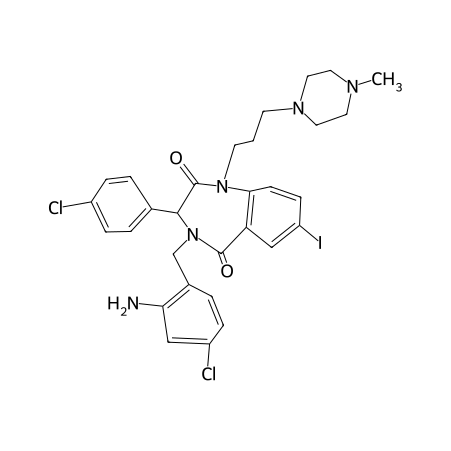 CN1CCN(CCCN2C(=O)C(c3ccc(Cl)cc3)N(Cc3ccc(Cl)cc3N)C(=O)c3cc(I)ccc32)CC1